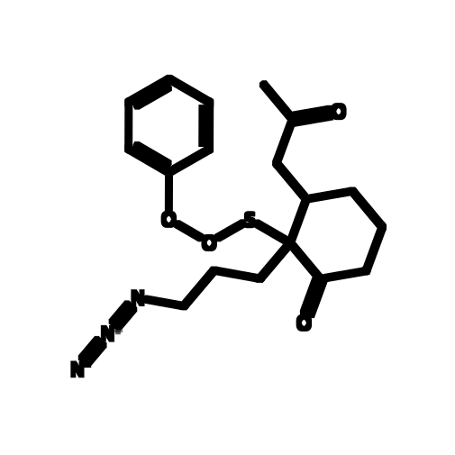 CC(=O)CC1CCCC(=O)C1(CCCN=[N+]=[N-])SOOc1ccccc1